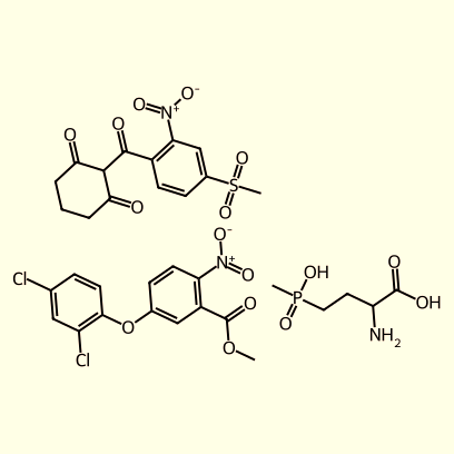 COC(=O)c1cc(Oc2ccc(Cl)cc2Cl)ccc1[N+](=O)[O-].CP(=O)(O)CCC(N)C(=O)O.CS(=O)(=O)c1ccc(C(=O)C2C(=O)CCCC2=O)c([N+](=O)[O-])c1